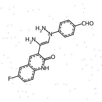 N/C(=C\N(N)c1ccc(C=O)cc1)c1cc2cc(F)ccc2[nH]c1=O